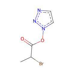 CC(Br)C(=O)On1ccnn1